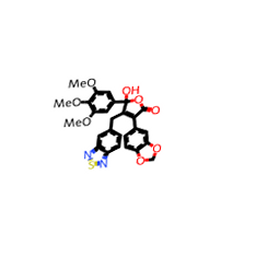 COc1cc(C2(O)OC(=O)C(c3ccc4c(c3)OCO4)=C2Cc2ccc3nsnc3c2)cc(OC)c1OC